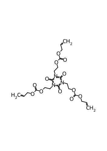 C=CCOC(=O)OCCn1c(=O)n(CCOC(=O)OCC=C)c(=O)n(CCOC(=O)OCC=C)c1=O